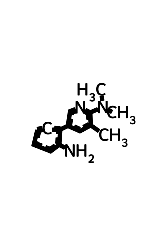 Cc1cc(-c2ccccc2N)cnc1N(C)C